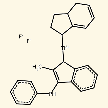 CC1=C(Pc2ccccc2)c2ccccc2[CH]1[Ti+2][CH]1CCC2CC=CC=C21.[F-].[F-]